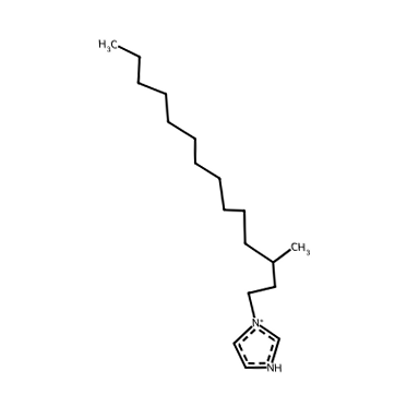 CCCCCCCCCCCC(C)CC[n+]1cc[nH]c1